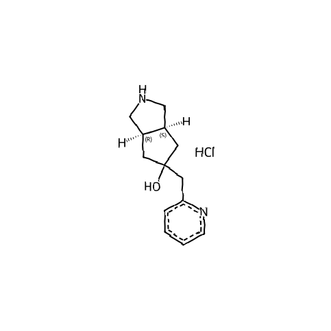 Cl.OC1(Cc2ccccn2)C[C@H]2CNC[C@H]2C1